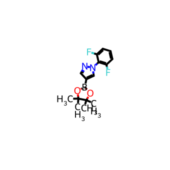 CC1(C)OB(c2cnn(-c3c(F)cccc3F)c2)OC1(C)C